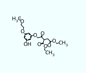 CCOC(=O)CC(C(=O)COc1cc(O)cc(OCCOC)c1)C(=O)OCC